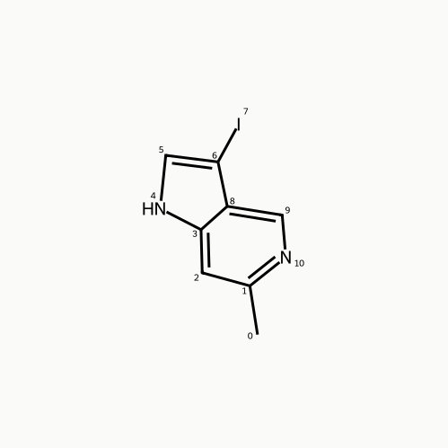 Cc1cc2[nH]cc(I)c2cn1